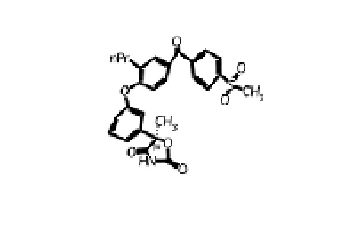 CCCc1cc(C(=O)c2ccc(S(C)(=O)=O)cc2)ccc1Oc1cccc([C@@]2(C)OC(=O)NC2=O)c1